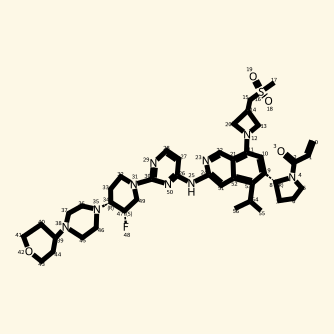 C=CC(=O)N1CCC[C@@H]1c1cc(N2CC(CS(C)(=O)=O)C2)c2cnc(Nc3ccnc(N4CC[C@@H](N5CCN(C6CCOCC6)CC5)[C@@H](F)C4)n3)cc2c1C(C)C